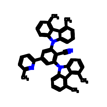 Cc1cccc(-c2cc(-n3c4cccc(C)c4c4c(C)cccc43)c(C#N)c(-n3c4cccc(C)c4c4c(C)cccc43)c2)n1